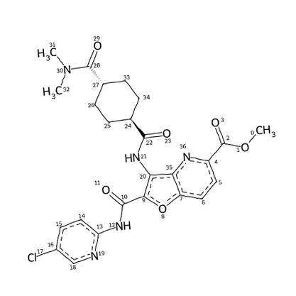 COC(=O)c1ccc2oc(C(=O)Nc3ccc(Cl)cn3)c(NC(=O)[C@H]3CC[C@H](C(=O)N(C)C)CC3)c2n1